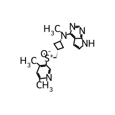 Cc1cc(C)c([S+]([O-])C[C@H]2C[C@@H](N(C)c3ncnc4[nH]ccc34)C2)cn1